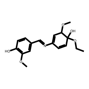 CCOC1(O)C=CC(N=Cc2ccc(O)c(OC)c2)=CC1OC